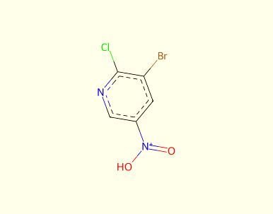 O=[N+](O)c1cnc(Cl)c(Br)c1